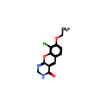 O=C(O)COc1ccc2c(c1Cl)OC1=NCNC(=O)C1=C2